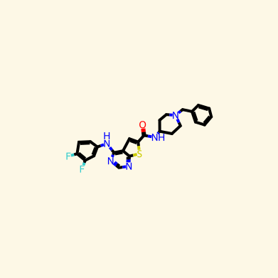 O=C(NC1CCN(Cc2ccccc2)CC1)c1cc2c(Nc3ccc(F)c(F)c3)ncnc2s1